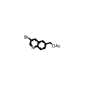 CC(=O)OCc1ccc2ncc(Br)cc2c1